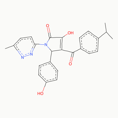 Cc1ccc(N2C(=O)C(O)=C(C(=O)c3ccc(C(C)C)cc3)C2c2ccc(O)cc2)nn1